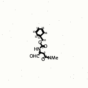 CNC(=O)CC(C=O)NC(=O)OCc1ccccc1